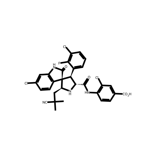 CC(C)(C#N)C[C@@H]1N[C@@H](C(=O)Nc2ccc(C(=O)O)cc2Cl)[C@H](c2cccc(Cl)c2F)[C@]12C(=O)Nc1cc(Cl)ccc12